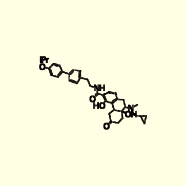 CC(C)Oc1ccc(-c2ccc(CCNC(=O)c3ccc4c(c3O)C3CC(=O)CC[C@@]3(O)[C@H](N(C)CC3CC3)C4)cc2)cc1